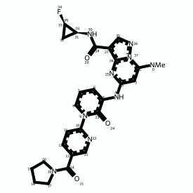 CNc1cc(Nc2cccn(-c3ccc(C(=O)N4CCCC4)cn3)c2=O)nc2c(C(=O)N[C@H]3C[C@H]3F)cnn12